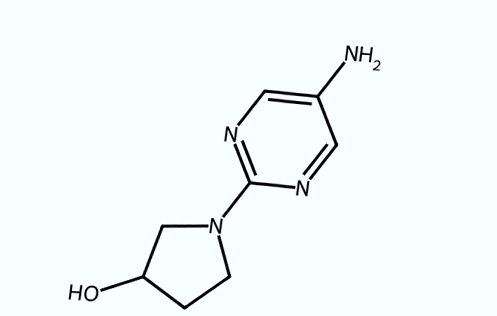 Nc1cnc(N2CCC(O)C2)nc1